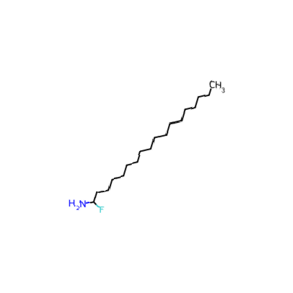 CCCCCCCCCCCCCCCCCC(N)F